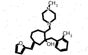 Cc1ccccc1CC1(O)CC(=Cc2ccco2)CCCC1CN1CCN(C)CC1